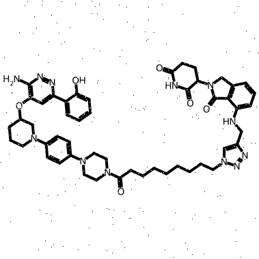 Nc1nnc(-c2ccccc2O)cc1OC1CCCN(c2ccc(N3CCN(C(=O)CCCCCCCCn4cc(CNc5cccc6c5C(=O)N(C5CCC(=O)NC5=O)C6)nn4)CC3)cc2)C1